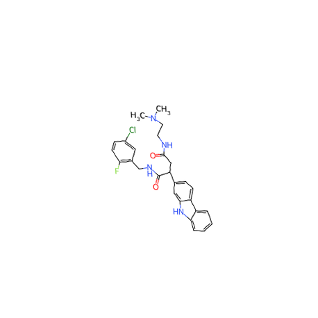 CN(C)CCNC(=O)CC(C(=O)NCc1cc(Cl)ccc1F)c1ccc2c(c1)[nH]c1ccccc12